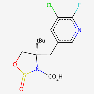 CC(C)(C)[C@@]1(Cc2cnc(F)c(Cl)c2)COS(=O)N1C(=O)O